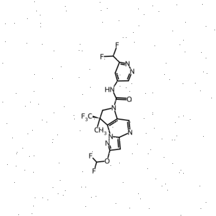 C[C@]1(C(F)(F)F)CN(C(=O)Nc2cnnc(C(F)F)c2)c2cnc3cc(OC(F)F)nn3c21